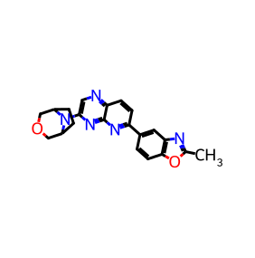 Cc1nc2cc(-c3ccc4ncc(N5C6CCC5COC6)nc4n3)ccc2o1